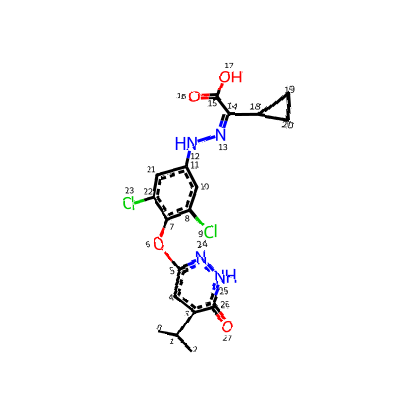 CC(C)c1cc(Oc2c(Cl)cc(N/N=C(\C(=O)O)C3CC3)cc2Cl)n[nH]c1=O